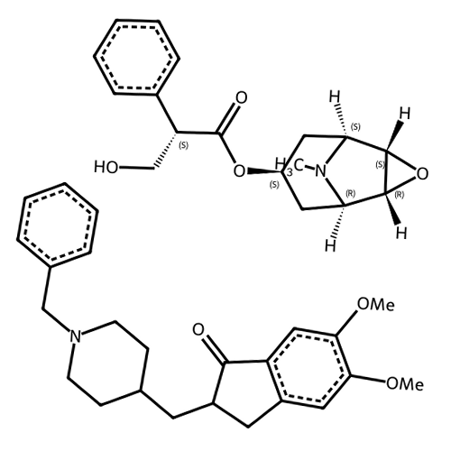 CN1[C@@H]2C[C@@H](OC(=O)[C@H](CO)c3ccccc3)C[C@H]1[C@@H]1O[C@@H]12.COc1cc2c(cc1OC)C(=O)C(CC1CCN(Cc3ccccc3)CC1)C2